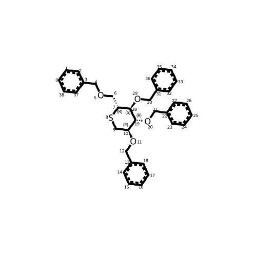 c1ccc(COC[C@H]2SC[C@H](OCc3ccccc3)[C@@H](OCc3ccccc3)[C@@H]2OCc2ccccc2)cc1